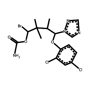 CC(C(Oc1ccc(Cl)cc1Cl)n1cncn1)C(C)(C)C(Br)OC(N)=O